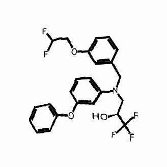 O[C@@H](CN(Cc1cccc(OCC(F)F)c1)c1cccc(Oc2ccccc2)c1)C(F)(F)F